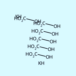 O=C(O)O.O=C(O)O.O=C(O)O.O=C(O)O.O=C(O)O.O=C(O)O.[KH].[KH]